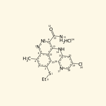 CCSc1cc(C)c2nnc(C(N)=O)c(Nc3cncc(Cl)c3)c2c1.Cl